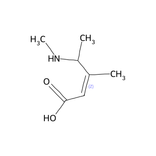 CNC(C)/C(C)=C\C(=O)O